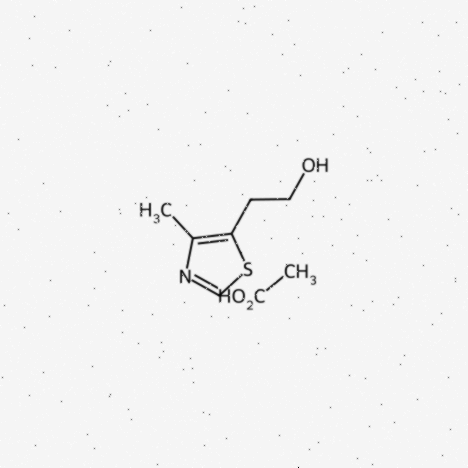 CC(=O)O.Cc1ncsc1CCO